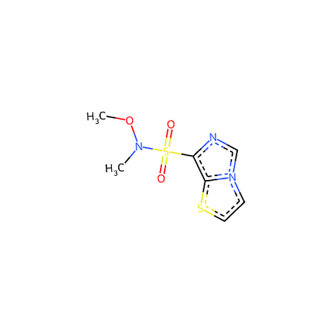 CON(C)S(=O)(=O)c1ncn2ccsc12